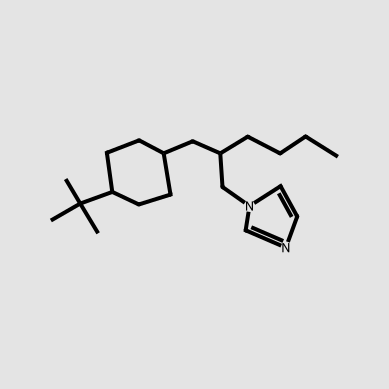 CCCCC(CC1CCC(C(C)(C)C)CC1)Cn1ccnc1